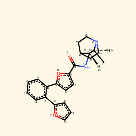 C[C@H]1[C@H](NC(=O)c2ccc(-c3ccccc3-c3ccco3)o2)C2CCN1CC2